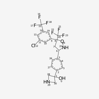 OC1(c2ccc(C3CC(c4cc(Cl)cc(C(F)(F)F)c4)(C(F)(F)F)ON3)cc2)CNC1